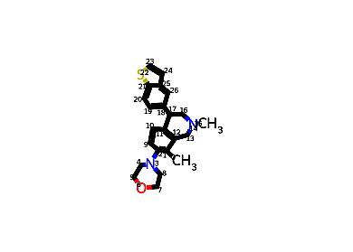 Cc1c(N2CCOCC2)ccc2c1CN(C)CC2c1ccc2sccc2c1